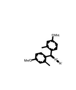 COc1ccc(C(=[N+]=[N-])c2ccc(OC)cc2C)c(C)c1